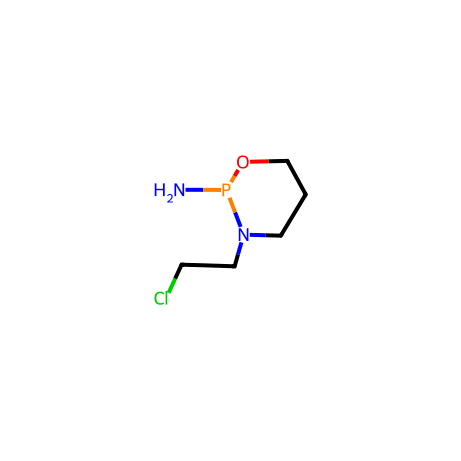 NP1OCCCN1CCCl